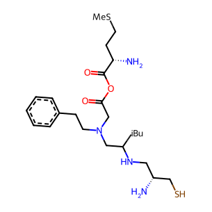 CCC(C)C(CN(CCc1ccccc1)CC(=O)OC(=O)[C@@H](N)CCSC)NC[C@@H](N)CS